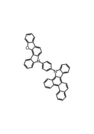 c1ccc2c(c1)ccc1c2c2ccccc2c2c1c1ccccc1n2-c1ccc(-n2c3ccccc3c3c4oc5ccccc5c4ccc32)cc1